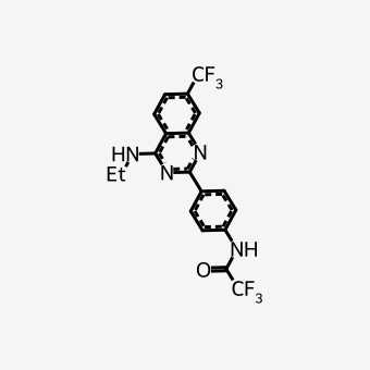 CCNc1nc(-c2ccc(NC(=O)C(F)(F)F)cc2)nc2cc(C(F)(F)F)ccc12